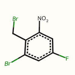 O=[N+]([O-])c1cc(F)cc(Br)c1CBr